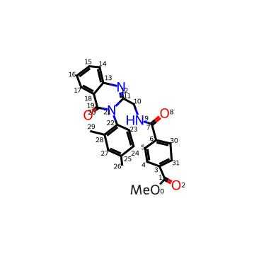 COC(=O)c1ccc(C(=O)NCc2nc3ccccc3c(=O)n2-c2ccc(C)cc2C)cc1